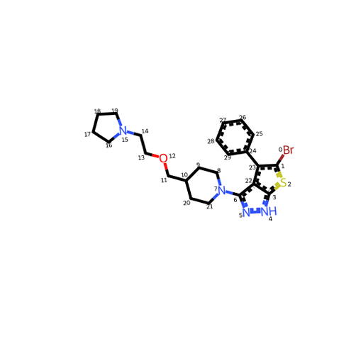 Brc1sc2[nH]nc(N3CCC(COCCN4CCCC4)CC3)c2c1-c1ccccc1